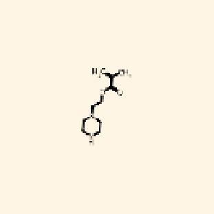 C=C(C)C(=O)OCCN1CCNCC1